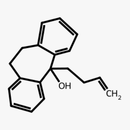 C=CCCC1(O)c2ccccc2CCc2ccccc21